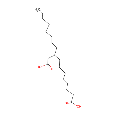 CCCCCC=CCC(CCCCCCCC(=O)O)CC(=O)O